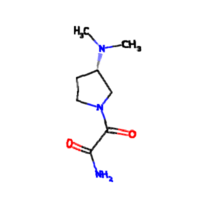 CN(C)[C@H]1CCN(C(=O)C(N)=O)C1